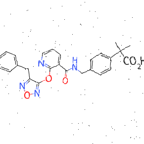 CC(C)(C(=O)O)c1ccc(CNC(=O)c2cccnc2Oc2nonc2Cc2ccccc2)cc1